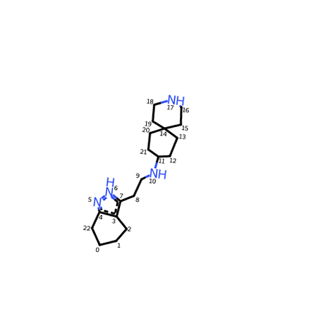 C1CCc2c(n[nH]c2CCNC2CCC3(CCNCC3)CC2)C1